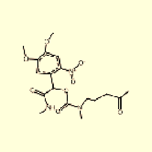 CNC(=O)C(OC(=O)N(C)CCCC(C)=O)c1cc(OC)c(OC)cc1[N+](=O)[O-]